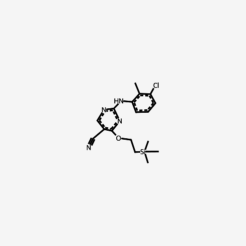 Cc1c(Cl)cccc1Nc1ncc(C#N)c(OCC[Si](C)(C)C)n1